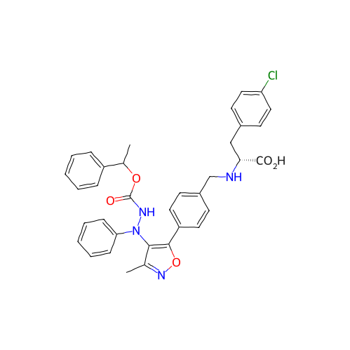 Cc1noc(-c2ccc(CN[C@H](Cc3ccc(Cl)cc3)C(=O)O)cc2)c1N(NC(=O)OC(C)c1ccccc1)c1ccccc1